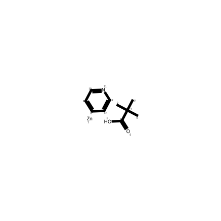 CC(C)(C)C(=O)O.[Zn].c1ccncc1